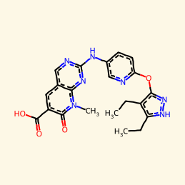 CCc1[nH]nc(Oc2ccc(Nc3ncc4cc(C(=O)O)c(=O)n(C)c4n3)cn2)c1CC